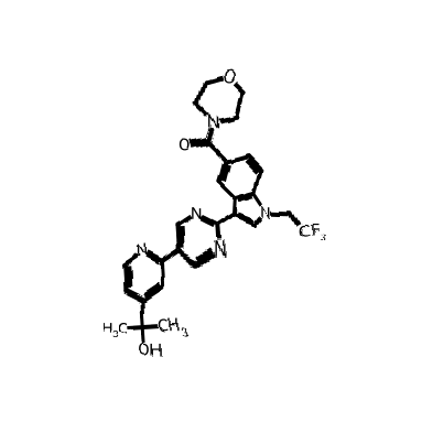 CC(C)(O)c1ccnc(-c2cnc(-c3cn(CC(F)(F)F)c4ccc(C(=O)N5CCOCC5)cc34)nc2)c1